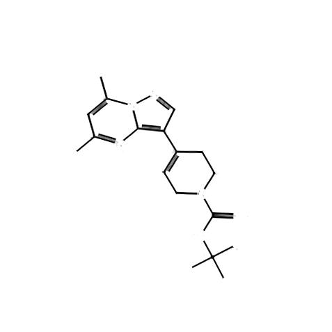 Cc1cc(C)n2ncc(C3=CCN(C(=O)OC(C)(C)C)CC3)c2n1